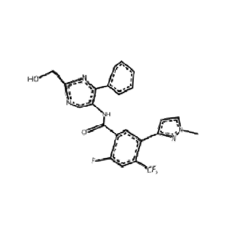 Cn1ccc(-c2cc(C(=O)Nc3cnc(CO)nc3-c3ccccc3)c(F)cc2C(F)(F)F)n1